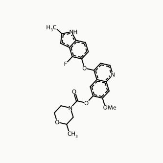 COc1cc2nccc(Oc3ccc4[nH]c(C)cc4c3F)c2cc1OC(=O)N1CCOC(C)C1